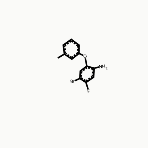 Cc1cccc(Oc2cc(Br)c(F)cc2N)c1